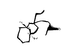 CCC1(CC(C)=O)C[C@H]2CCCC[C@@H]2C1